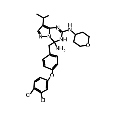 CC(C)c1cnn2c1N=C(NC1CCOCC1)NC2(N)Cc1ccc(Oc2ccc(Cl)c(Cl)c2)cc1